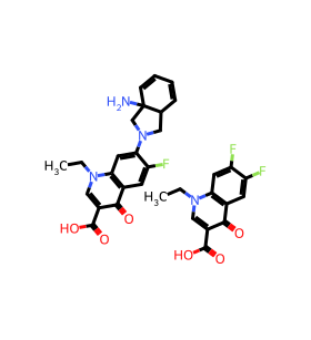 CCn1cc(C(=O)O)c(=O)c2cc(F)c(F)cc21.CCn1cc(C(=O)O)c(=O)c2cc(F)c(N3CC4C=CC=CC4(N)C3)cc21